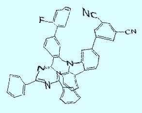 N#Cc1cc(C#N)cc(-c2ccc3c4ccccc4n(-c4cc(-c5ccccc5F)ccc4-c4nc(-c5ccccc5)nc(-c5ccccc5)n4)c3c2)c1